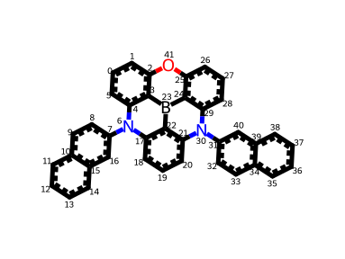 c1cc2c3c(c1)N(c1ccc4ccccc4c1)c1cccc4c1B3c1c(cccc1N4c1ccc3ccccc3c1)O2